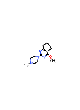 COc1nc(N2CCN(C)CC2)nc2c1CCCC2